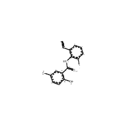 C=Cc1cccc(F)c1NC(=O)c1cc(Cl)ccc1O